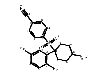 N#Cc1ccc(S(=O)(=O)C2(c3cc(F)ccc3F)CCC(N)CC2)cc1